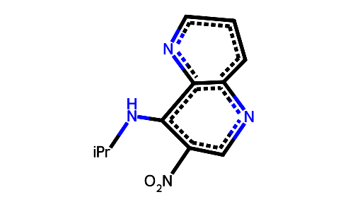 CC(C)Nc1c([N+](=O)[O-])cnc2cccnc12